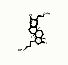 COCCc1cc2c(cc1O)CC[C@H]1[C@@H]3[C@H](CCCC(=O)O)CC(=O)[C@@]3(C)CC[C@H]21